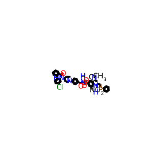 CN(C)CC[C@H](CSc1ccccc1)Nc1ccc(S(=O)(=O)NC(=O)c2ccc(N3CCC(NC(=O)c4ccccc4-c4ccc(Cl)cc4)CC3)cc2)cc1[N+](=O)[O-]